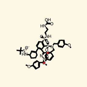 COc1ccc(CN(Cc2ccc(OC)cc2)S(=O)(=O)c2c(S(=O)(=O)NCCNC(=O)O)ccc(C3=CC(N[S@@+]([O-])C(C)(C)C)CCC3)c2-c2nnn(Cc3ccc(OC)cc3)n2)cc1